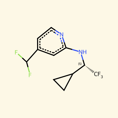 FC(F)c1ccnc(N[C@@H](C2CC2)C(F)(F)F)c1